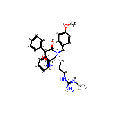 CCOc1ccc(CN(C(=O)C(c2ccccc2)c2ccccc2)[C@H](CCCNC(N)=N[N+](=O)[O-])C(N)=O)cc1